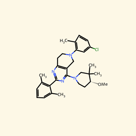 CO[C@@H]1CCN(c2nc(-c3c(C)cccc3C)nc3c2CN(c2cc(Cl)ccc2C)CC3)CC1(C)C